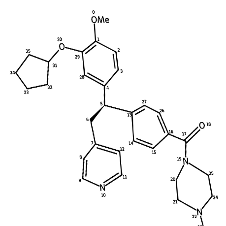 COc1ccc([C@H](Cc2ccncc2)c2ccc(C(=O)N3CCN(C)CC3)cc2)cc1OC1CCCC1